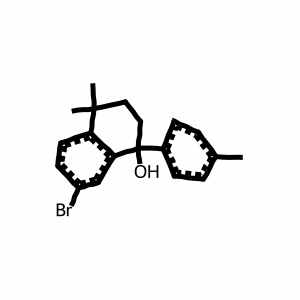 Cc1ccc(C2(O)CCC(C)(C)c3ccc(Br)cc32)cc1